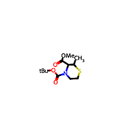 COC(=O)C1C(C)SCCN1C(=O)OC(C)(C)C